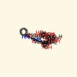 CCCCCCCC(C)(NC(=O)CCCCC(=O)NCCCCCO[C@@H]1OC(C)[C@H](O)C(O[C@@H]2OC(C)[C@@H](O[C@@H]3OC(CO)[C@@H](O)C(O)C3O)C(O[C@@H]3OC(C(=O)O)[C@@H](O)C(O)C3O[C@@H]3OC(C)[C@@H](O)C(O)C3NC(C)=O)C2NC(C)=O)C1NC(C)=O)C1CCCCCCCCCCCC1